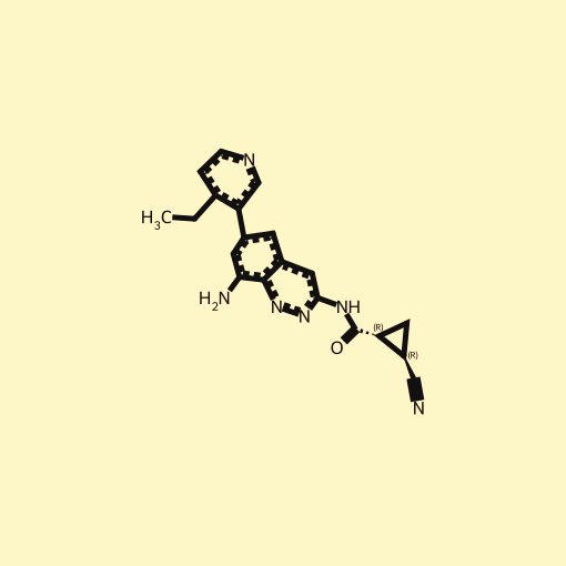 CCc1ccncc1-c1cc(N)c2nnc(NC(=O)[C@@H]3C[C@H]3C#N)cc2c1